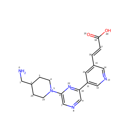 NCC1CCN(c2cncc(-c3cncc(/C=C/C(=O)O)c3)n2)CC1